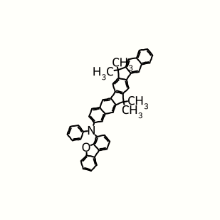 CC1(C)c2cc3c(cc2-c2cc4ccccc4cc21)C(C)(C)c1cc2cc(N(c4ccccc4)c4cccc5c4oc4ccccc45)ccc2cc1-3